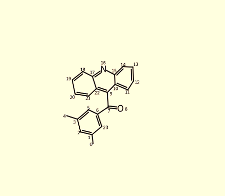 Cc1cc(C)cc(C(=O)c2c3ccccc3nc3ccccc23)c1